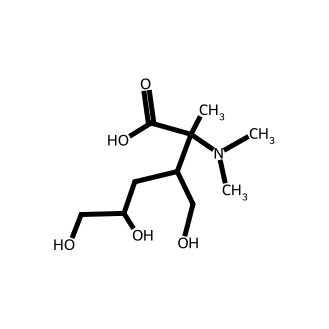 CN(C)C(C)(C(=O)O)C(CO)CC(O)CO